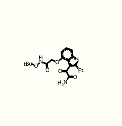 CCc1sc2cccc(OCC(=O)NOC(C)(C)C)c2c1C(=O)C(N)=O